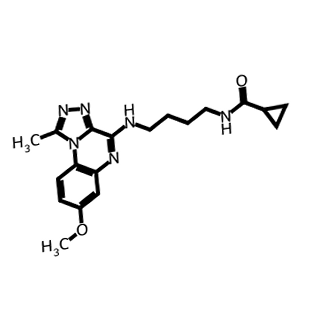 COc1ccc2c(c1)nc(NCCCCNC(=O)C1CC1)c1nnc(C)n12